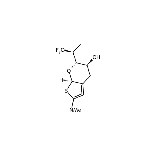 CNC1=C=C2C[C@H](O)[C@@H]([C@H](C)C(F)(F)F)O[C@@H]2S1